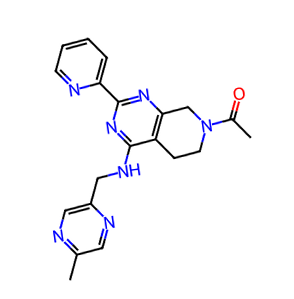 CC(=O)N1CCc2c(nc(-c3ccccn3)nc2NCc2cnc(C)cn2)C1